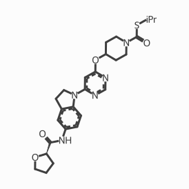 CC(C)SC(=O)N1CCC(Oc2cc(N3CCc4cc(NC(=O)[C@H]5CCCO5)ccc43)ncn2)CC1